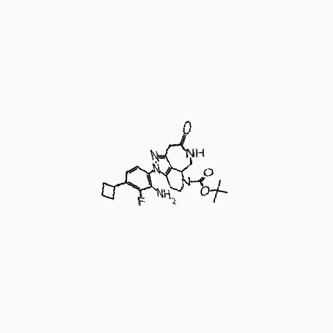 CC(C)(C)OC(=O)N1CCc2c3c(nn2-c2ccc(C4CCC4)c(F)c2N)CC(=O)NCC31